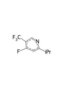 CC(C)c1cc(F)c(C(F)(F)F)cn1